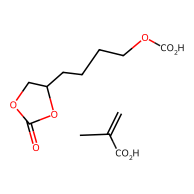 C=C(C)C(=O)O.O=C(O)OCCCCC1COC(=O)O1